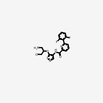 NCC(CCl)Oc1sncc1NC(=O)c1cccc(-c2c(F)cccc2F)n1